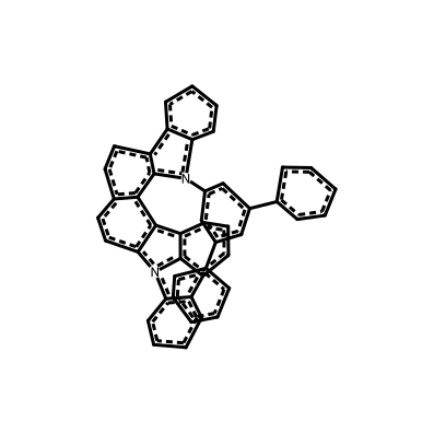 c1ccc(-c2cc(-c3ccccc3)cc(-n3c4ccccc4c4ccc5ccc6c(c7cccc8c9ccccc9n6c87)c5c43)c2)cc1